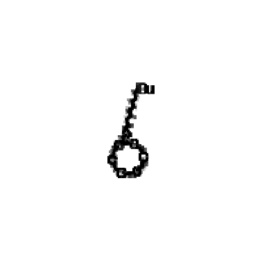 CCC(C)CCCCCCCCCOCC1COCCOCCOCCOCCOCCO1